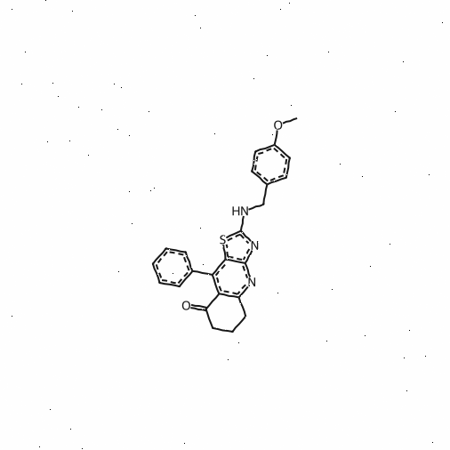 COc1ccc(CNc2nc3nc4c(c(-c5ccccc5)c3s2)C(=O)CCC4)cc1